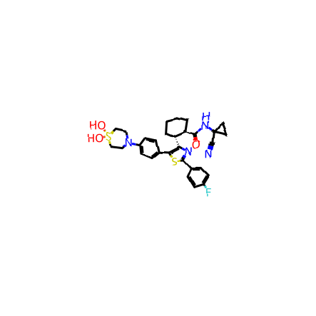 N#CC1(NC(=O)[C@@H]2CCCC[C@H]2c2nc(-c3ccc(F)cc3)sc2-c2ccc(N3CCS(O)(O)CC3)cc2)CC1